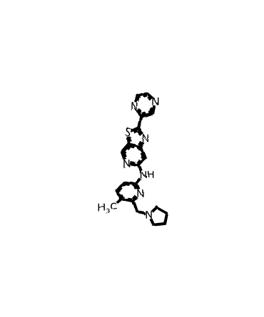 Cc1ccc(Nc2cc3nc(-c4cnccn4)sc3cn2)nc1CN1CCCC1